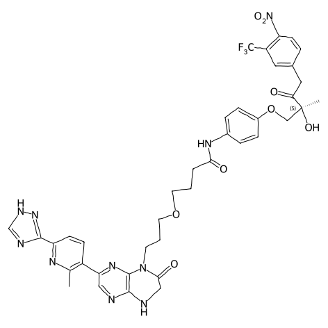 Cc1nc(-c2nc[nH]n2)ccc1-c1cnc2c(n1)N(CCCOCCCC(=O)Nc1ccc(OC[C@](C)(O)C(=O)Cc3ccc([N+](=O)[O-])c(C(F)(F)F)c3)cc1)C(=O)CN2